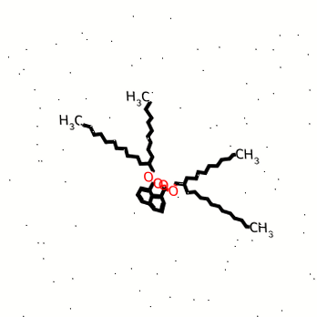 CCCCCCCCCCCCC(CCCCCCCCCC)COC(=O)c1cccc2cccc(C(=O)OCC(CCCCCCCCCC)CCCCCCCCCCCC)c12